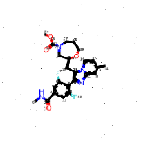 CNC(=O)c1cc(F)c(-c2nc3cc(C)ccn3c2CC2CN(C(=O)OC)CCCO2)c(F)c1